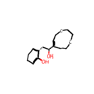 OC1=CCCC[C@@H]1CC(O)/C1=C/CCCCCCC1